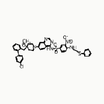 COC1(Cc2ccccc2-c2ccc(Cl)cc2)CCN(c2ccc3c(NS(=O)(=O)c4ccc(NCCSc5ccccc5)c([N+](=O)[O-])c4)ncnc3c2)CC1